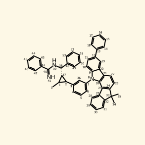 CC1C(c2cccc(-n3c4ccc(-c5ccccc5)cc4c4ccc5c(c43)-c3ccccc3C5(C)C)c2)[C@H]1C(NC(=N)c1ccccc1)c1ccccc1